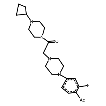 CC(=O)c1ccc(N2CCN(CC(=O)N3CCN(C4CCC4)CC3)CC2)cc1F